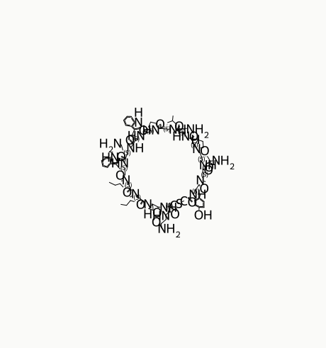 CCCC[C@H]1C(=O)N(C)[C@@H](CCCC)C(=O)NC2(CC2)C(=O)N[C@H](C(=O)NCC(N)=O)CSCC(=O)N[C@@H](Cc2ccc(O)cc2)C(=O)N(C)[C@@H](C)C(=O)N[C@@H](CC(N)=O)C(=O)N2CCC[C@H]2C(=O)N[C@@H](CN)C(=O)N[C@@H](CC(C)C)C(=O)N2CCC[C@H]2C(=O)N[C@@H](Cc2c[nH]c3ccccc23)C(=O)N[C@@H](CCN)C(=O)N[C@@H](Cc2c[nH]c3ccccc23)C(=O)N1C